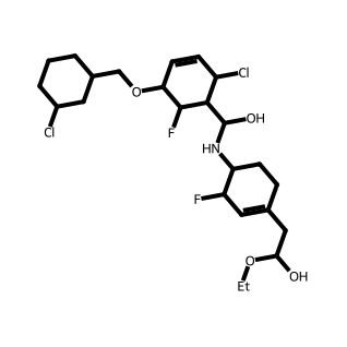 CCOC(O)CC1=CC(F)C(NC(O)C2C(Cl)C=CC(OCC3CCCC(Cl)C3)C2F)CC1